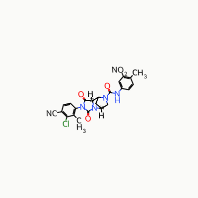 Cc1ccc(NC(=O)N2C[C@H]3CC2[C@H]2C(=O)N(c4ccc(C#N)c(Cl)c4C)C(=O)N32)cc1[N+](=O)[O-]